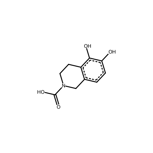 O=C(O)N1CCc2c(ccc(O)c2O)C1